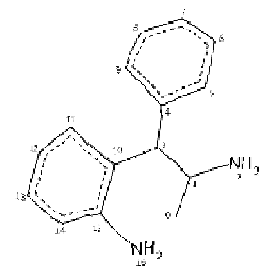 CC(N)C(c1ccccc1)c1ccccc1N